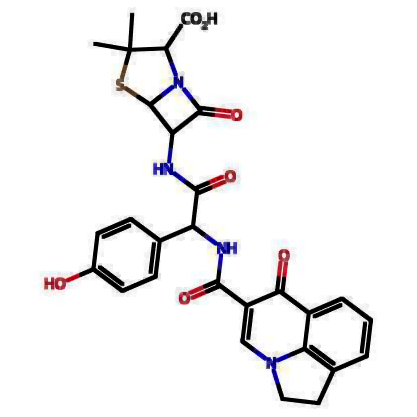 CC1(C)SC2C(NC(=O)C(NC(=O)c3cn4c5c(cccc5c3=O)CC4)c3ccc(O)cc3)C(=O)N2C1C(=O)O